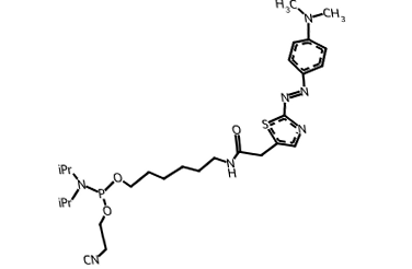 [C-]#[N+]CCOP(OCCCCCCNC(=O)Cc1cnc(N=Nc2ccc(N(C)C)cc2)s1)N(C(C)C)C(C)C